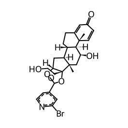 C[C@]12C=CC(=O)C=C1CC[C@@H]1[C@@H]2[C@@H](O)C[C@@]2(C)[C@H]1C[C@H]1OC(c3ccnc(Br)c3)O[C@]12C(=O)CO